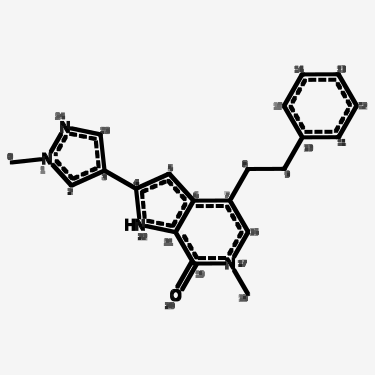 Cn1cc(-c2cc3c(CCc4ccccc4)cn(C)c(=O)c3[nH]2)cn1